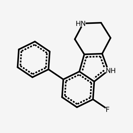 Fc1ccc(-c2ccccc2)c2c3c([nH]c12)CCNC3